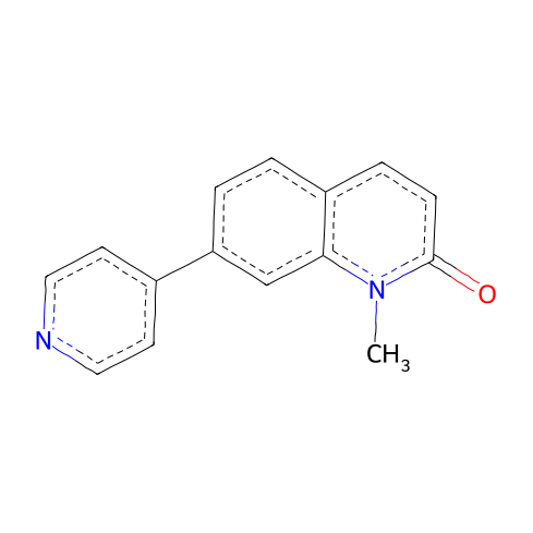 Cn1c(=O)ccc2ccc(-c3ccncc3)cc21